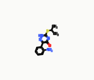 CC(C)Sc1nc(=O)c(-c2ccccc2N)n[nH]1